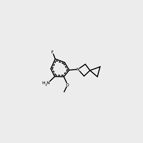 COc1c(N)cc(F)cc1N1CC2(CC2)C1